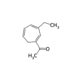 CCC1=CC=CCC(C(C)=O)=C1